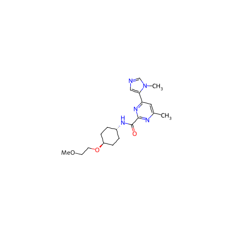 COCCO[C@H]1CC[C@H](NC(=O)c2nc(C)cc(-c3cncn3C)n2)CC1